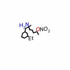 CCC1CCCC(CC(C)(N)CCCC(C)O[N+](=O)[O-])C1